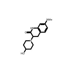 CNc1ccc2c(c1)NC(=O)C(N1CCC(O)CC1)C2